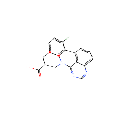 O=C(O)C1CCCN(c2ncnc3cccc(-c4ccccc4Cl)c23)C1